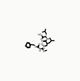 COC(NC(=O)OCc1ccccc1)[PH](=O)CC(CC(C)C)C(=O)N[C@@H](CC(C)C)C(=O)O